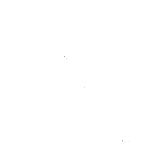 COc1ccc(N(Cc2nc3c(F)c(F)ccc3s2)C(=O)CCC(=O)O)cc1